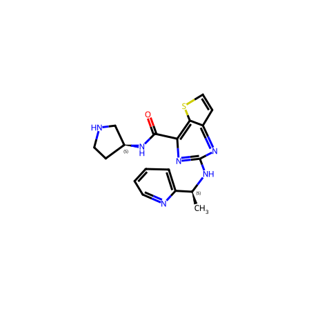 C[C@H](Nc1nc(C(=O)N[C@H]2CCNC2)c2sccc2n1)c1ccccn1